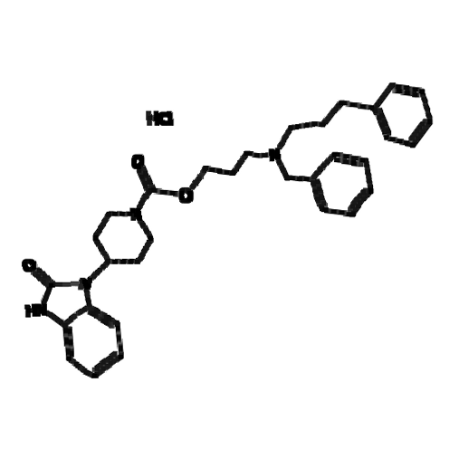 Cl.O=C(OCCCN(CCCc1ccccc1)Cc1ccccc1)N1CCC(n2c(=O)[nH]c3ccccc32)CC1